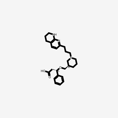 O=C(O)C[C@H](OC[C@@H]1CCCN(CCCc2ccc3c(n2)NCCC3)C1)c1ccccc1